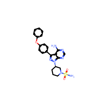 Nc1ncnc2c1c(-c1ccc(Oc3ccccc3)cc1)nn2[C@@H]1CCCN(S(N)(=O)=O)C1